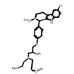 CCOC(=O)N1CCc2c([nH]c3ccc(Cl)cc23)C1C1=CC=C(OCC(O)CN(CCOC)CCOC)CC1